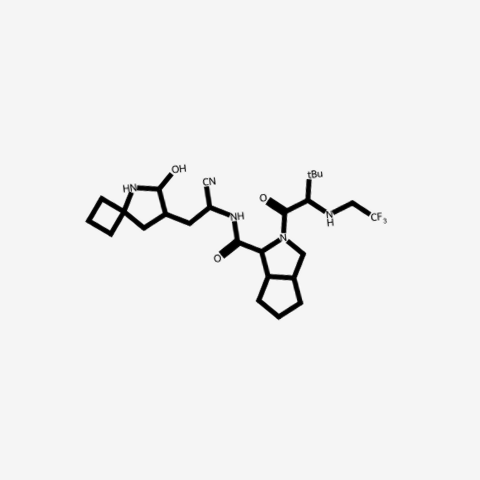 CC(C)(C)C(NCC(F)(F)F)C(=O)N1CC2CCCC2C1C(=O)NC(C#N)CC1CC2(CCC2)NC1O